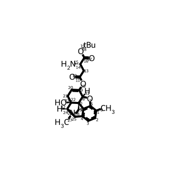 Cc1ccc2c3c1O[C@H]1C(OC(=O)C[C@H](N)C(=O)OC(C)(C)C)=CC[C@@]4(O)[C@@H](C2)N(C)CC[C@]314